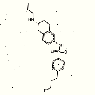 CCCN[C@@H]1CCc2cc(NS(=O)(=O)c3ccc(CCCF)cc3)ccc2C1